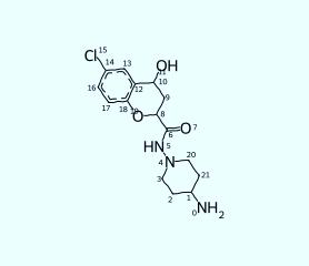 NC1CCN(NC(=O)C2CC(O)c3cc(Cl)ccc3O2)CC1